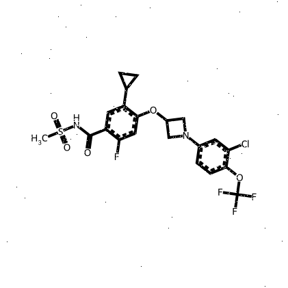 CS(=O)(=O)NC(=O)c1cc(C2CC2)c(OC2CN(c3ccc(OC(F)(F)F)c(Cl)c3)C2)cc1F